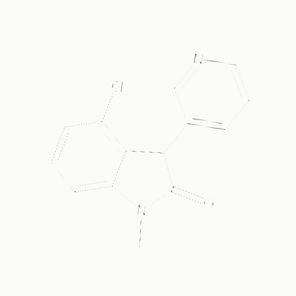 CN1C(=O)C(c2cccnc2)c2c(Cl)cccc21